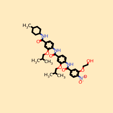 CC(C)COc1cc(C(=O)Nc2ccc(C(=O)NC3CCC(C)CC3)cc2OCC(C)C)ccc1NC(=O)c1ccc([N+](=O)[O-])c(OCCO)c1